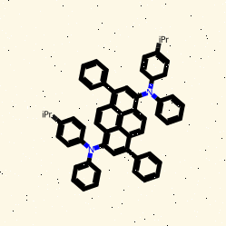 CC(C)C1=CCC(N(c2ccccc2)c2cc(-c3ccccc3)c3ccc4c(N(c5ccccc5)c5ccc(C(C)C)cc5)cc(-c5ccccc5)c5ccc2c3c54)C=C1